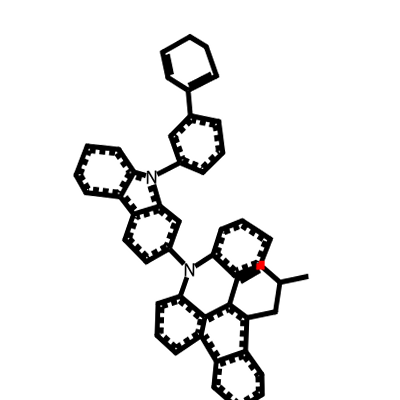 CC1C=Cc2c(c3ccccc3c3cccc(N(c4ccccc4)c4ccc5c6ccccc6n(-c6cccc(C7=CCCC=C7)c6)c5c4)c23)C1